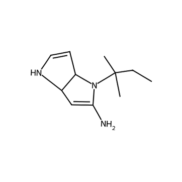 CCC(C)(C)N1C(N)=CC2NC=CC21